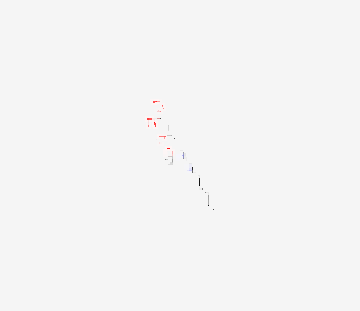 CCCCC/C=C/C=C/C(CC(=O)CC(=O)OC)O[Si](C)(C)C